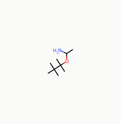 CC(N)OC(C)(C)C(C)(C)C